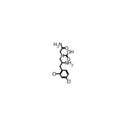 NC(=O)CN(CC(N)Cc1ccc(Cl)cc1Cl)C(=O)O